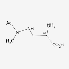 CC(=O)N(C)NC[C@H](N)C(=O)O